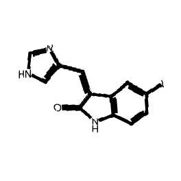 O=C1Nc2ccc(I)cc2C1=Cc1c[nH]cn1